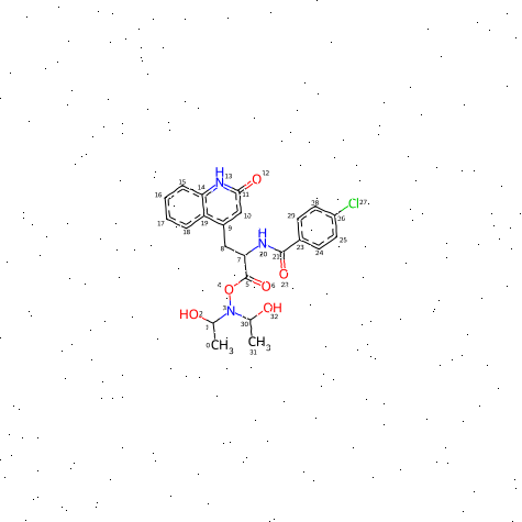 CC(O)N(OC(=O)C(Cc1cc(=O)[nH]c2ccccc12)NC(=O)c1ccc(Cl)cc1)C(C)O